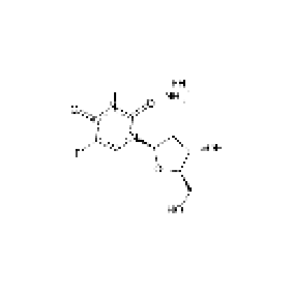 N.O=c1[nH]c(=O)n([C@H]2C[C@H](O)[C@@H](CO)O2)cc1F.P